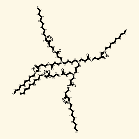 CCCCCCCCCn1cc(CCOC(=O)CCN(CCCCN(CCC(=O)OCCc2cn(CCCCCCCCC)nn2)CCC(=O)OCCc2cn(CCCCCCCCC)nn2)CCCN(CCC(=O)OCCc2cn(CCCCCCCCC)nn2)CCC(=O)OCCc2cn(CCCCCCCCC)nn2)nn1